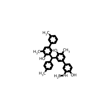 BPc1cc(-c2cc(C)c(O)c(C(c3ccc(C)cc3)c3cc(-c4cccc(C)c4)cc(C)c3O)c2)ccc1O